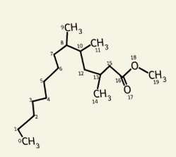 CCCCCCCCC(C)C(C)CC(C)CC(=O)OC